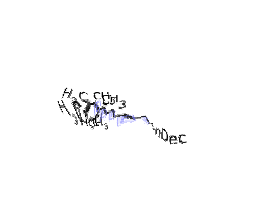 CCCCCCCCCCCC/C=C/C=C/C=C/C=C(C)/C(C)=C(\C)C(C)=C(C)C